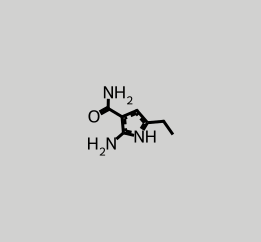 CCc1cc(C(N)=O)c(N)[nH]1